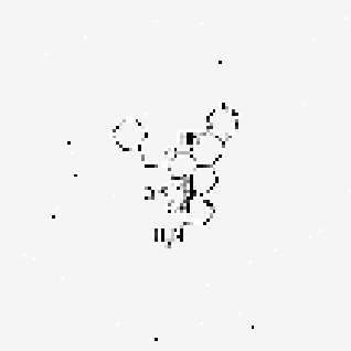 Nc1ccc(CC2Cc3ccccc3NC(=O)C2N[C@@H](CCC2CCCCC2)C(=O)O)cc1